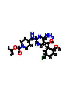 C=C(C)OC(=O)N1CCC(Nc2ncc(C(=O)c3cc(F)ccc3OC)c(N)n2)CC1